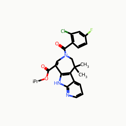 CC(C)OC(=O)C1=CN(C(=O)c2ccc(F)cc2Cl)CC(C)(C)c2c1[nH]c1ncccc21